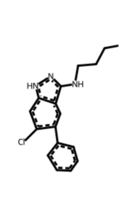 CCCCNc1n[nH]c2cc(Cl)c(-c3ccccc3)cc12